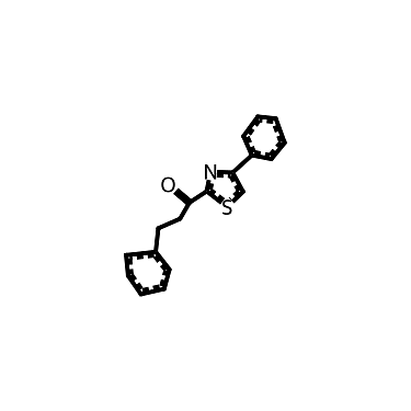 O=C(CCc1ccccc1)c1nc(-c2ccccc2)cs1